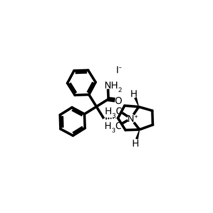 C[N+]1(C)[C@@H]2CC[C@H]1C[C@@H](CC(C(N)=O)(c1ccccc1)c1ccccc1)C2.[I-]